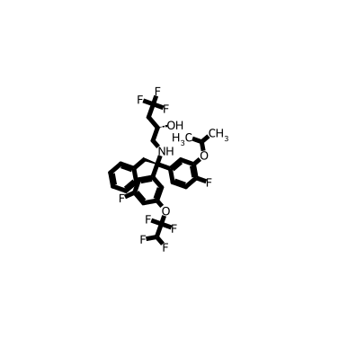 CC(C)Oc1cc([C@@](Cc2ccccc2)(NC[C@@H](O)CC(F)(F)F)c2cc(F)cc(OC(F)(F)C(F)F)c2)ccc1F